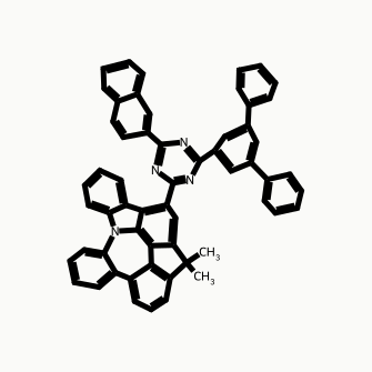 CC1(C)c2cccc3c2-c2c1cc(-c1nc(-c4cc(-c5ccccc5)cc(-c5ccccc5)c4)nc(-c4ccc5ccccc5c4)n1)c1c4ccccc4n(c21)-c1ccccc1-3